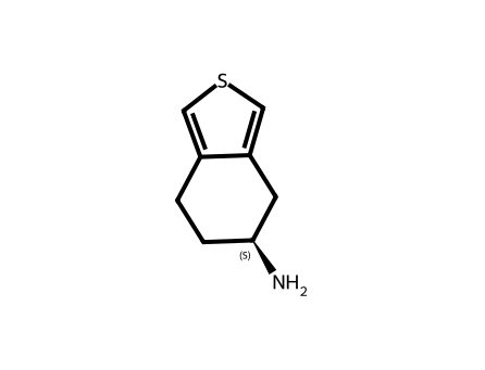 N[C@H]1CCc2cscc2C1